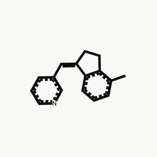 Cc1cccc2c1CC/C2=C/c1cccnc1